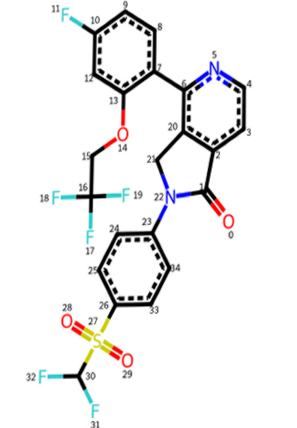 O=C1c2ccnc(-c3ccc(F)cc3OCC(F)(F)F)c2CN1c1ccc(S(=O)(=O)C(F)F)cc1